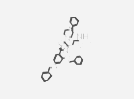 NC(=O)CC[C@H](NC(=O)c1ccc(OCc2ccccc2)cc1OCc1ccccc1)C(=O)N1CCN(c2ccccc2)CC1